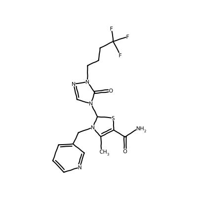 CC1=C(C(N)=O)SC(n2cnn(CCCC(F)(F)F)c2=O)N1Cc1cccnc1